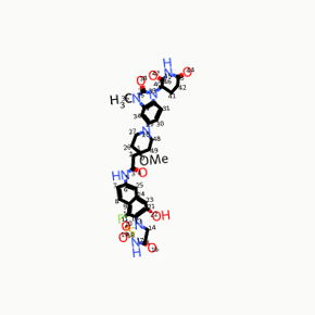 COC1(CC(=O)Nc2ccc3c(F)c(N4CC(=O)NS4(=O)=O)c(O)cc3c2)CCN(c2ccc3c(c2)n(C)c(=O)n3C2CCC(=O)NC2=O)CC1